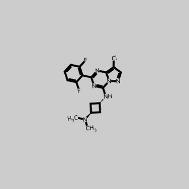 CN(C)[C@H]1C[C@H](Nc2nc(-c3c(F)cccc3F)nc3c(Cl)cnn23)C1